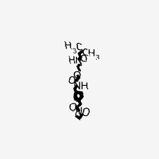 CC(C)CC(=O)NCCCOCC(=O)NCc1ccc(CC(=O)N2CCC2=O)cc1